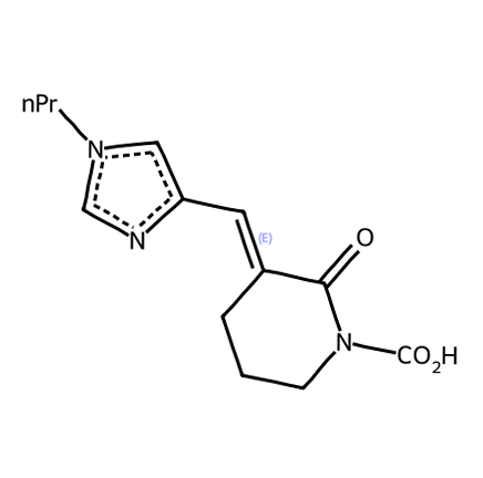 CCCn1cnc(/C=C2\CCCN(C(=O)O)C2=O)c1